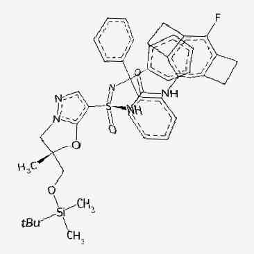 CC(C)(C)[Si](C)(C)OC[C@]1(C)Cn2ncc([S@@](=O)(=NC(c3ccccc3)(c3ccccc3)c3ccccc3)NC(=O)Nc3c4c(c(F)c5c3CC5)CC4)c2O1